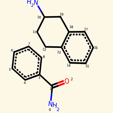 NC(=O)c1ccccc1.NC1CCc2ccccc2C1